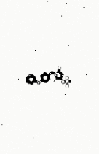 C[C@H]1C(OS(C)(=O)=O)CC(=O)N1Cc1ccc(Oc2ccccc2)cc1